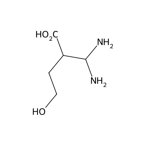 NC(N)C(CCO)C(=O)O